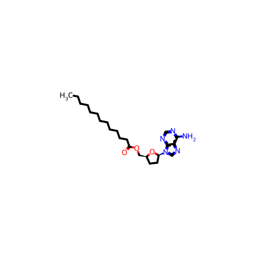 CCCCCCCCCCCCC(=O)OC[C@@H]1CC[C@H](n2cnc3c(N)ncnc32)O1